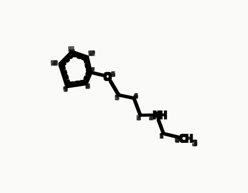 CCNCCCOc1ccccc1